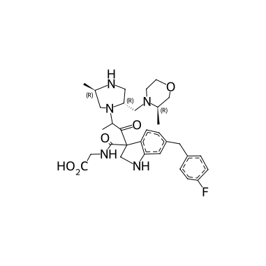 CC(C(=O)C1(C(=O)NCC(=O)O)CNc2cc(Cc3ccc(F)cc3)ccc21)N1C[C@@H](C)NC[C@@H]1CN1CCOC[C@H]1C